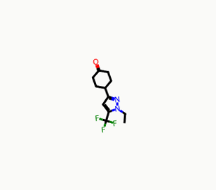 CCn1nc(C2CCC(=O)CC2)cc1C(F)(F)F